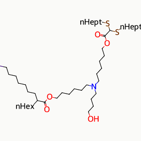 CCCCCCCSC(SCCCCCCC)C(=O)OCCCCCCN(CCCCO)CCCCCCOC(=O)C(CCCCCC)CCCCCCCI